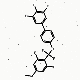 CCc1cc(F)c(C(F)(F)Oc2ccc(-c3cc(F)c(F)c(F)c3)cc2)c(F)c1